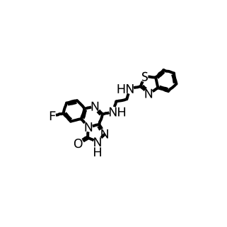 O=c1[nH]nc2c(NCCNc3nc4ccccc4s3)nc3ccc(F)cc3n12